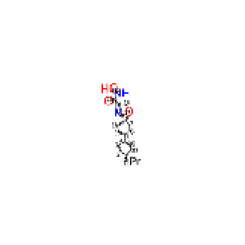 CCCc1ccc(-c2ccc(C3=N[C@@H](C(=O)NO)CO3)cc2)cc1